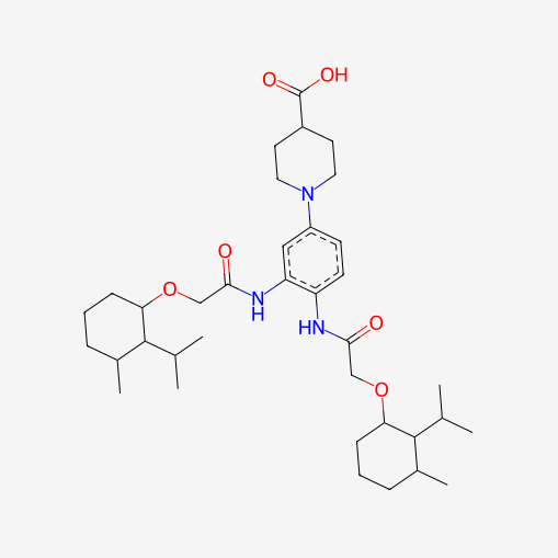 CC(C)C1C(C)CCCC1OCC(=O)Nc1ccc(N2CCC(C(=O)O)CC2)cc1NC(=O)COC1CCCC(C)C1C(C)C